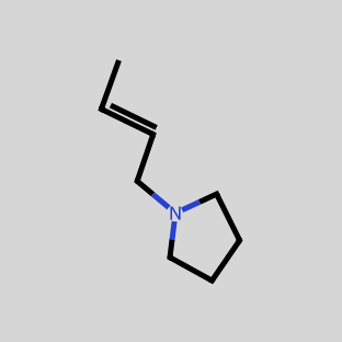 C/C=C/CN1CCCC1